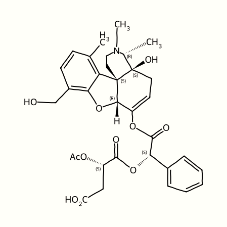 CC(=O)O[C@@H](CC(=O)O)C(=O)O[C@H](C(=O)OC1=CC[C@@]2(O)[C@@H](C)N(C)CC[C@@]23c2c(C)ccc(CO)c2O[C@@H]13)c1ccccc1